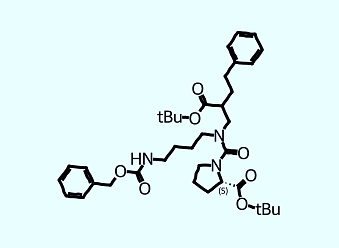 CC(C)(C)OC(=O)C(CCc1ccccc1)CN(CCCCNC(=O)OCc1ccccc1)C(=O)N1CCC[C@H]1C(=O)OC(C)(C)C